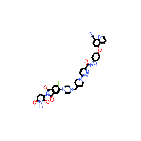 N#Cc1ccc(OC2CCC(NC(=O)c3ccc(N4CCC(CN5CCN(c6cc7c(cc6F)C(=O)N(C6CCC(=O)NC6=O)C7=O)CC5)CC4)nn3)CC2)c2cccnc12